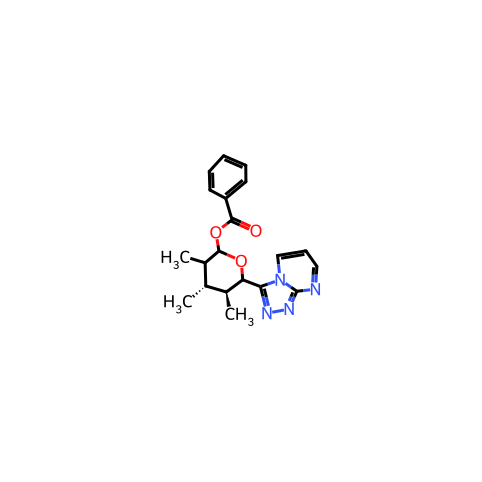 CC1C(OC(=O)c2ccccc2)OC(c2nnc3ncccn23)[C@@H](C)[C@@H]1C